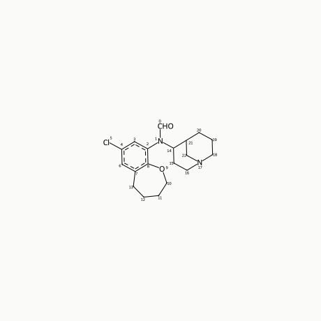 O=CN(c1cc(Cl)cc2c1OCCCC2)C1CCN2CCCC1C2